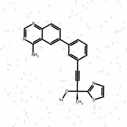 [2H]O[C@](C)(C#Cc1cccc(-c2ccc3ncnc(N)c3c2)c1)c1nccs1